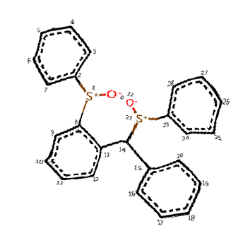 [O-][S+](c1ccccc1)c1[c]cccc1C(c1ccccc1)[S+]([O-])c1ccccc1